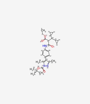 CCOC(=O)C(C(=O)Nc1ccc(-c2c(C)nn(C(=O)OC(C)(C)C)c2C)cc1)C(C1CC1)C1CC1